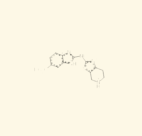 O=C(O)c1ccc2nc(Nc3nc4c(s3)CNCC4)[nH]c2c1